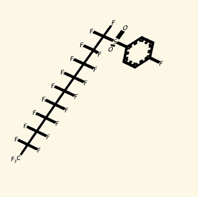 O=S(=O)(c1ccc(F)cc1)C(F)(F)C(F)(F)C(F)(F)C(F)(F)C(F)(F)C(F)(F)C(F)(F)C(F)(F)C(F)(F)C(F)(F)F